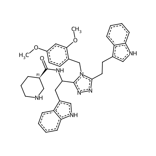 COc1ccc(Cn2c(CCc3c[nH]c4ccccc34)nnc2C(Cc2c[nH]c3ccccc23)NC(=O)[C@@H]2CCCNC2)c(OC)c1